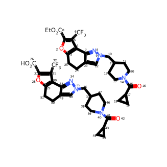 CCOC(=O)c1oc2c(c1C(F)(F)F)-c1nn(CC3CCN(C(=O)C4CC4)CC3)cc1CC2.O=C(O)c1oc2c(c1C(F)(F)F)-c1nn(CC3CCN(C(=O)C4CC4)CC3)cc1CC2